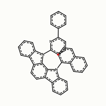 c1ccc(-c2cccc(-n3c4ccccc4c4ccc5c6ccccc6n(-c6cccc7ccccc67)c5c43)n2)cc1